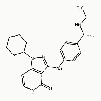 C[C@@H](NCC(F)(F)F)c1ccc(Nc2nn(C3CCCCC3)c3cc[nH]c(=O)c23)cc1